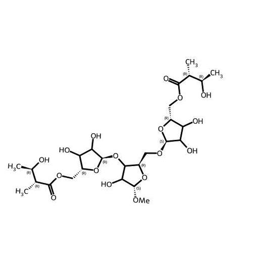 CO[C@H]1O[C@H](CO[C@H]2O[C@H](COC(=O)[C@H](C)[C@@H](C)O)C(O)C2O)C(O[C@H]2O[C@H](COC(=O)[C@H](C)[C@@H](C)O)C(O)C2O)C1O